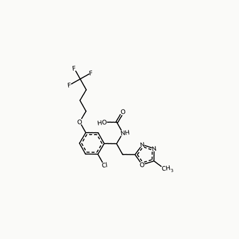 Cc1nnc(CC(NC(=O)O)c2cc(OCCCC(F)(F)F)ccc2Cl)o1